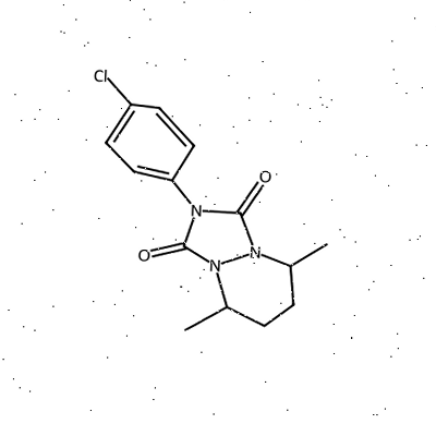 CC1CCC(C)n2c(=O)n(-c3ccc(Cl)cc3)c(=O)n21